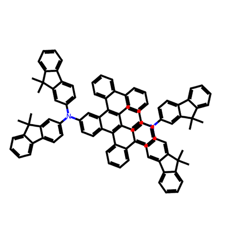 CC1(C)c2ccccc2-c2ccc(N(c3ccc4c(c3)C(C)(C)c3ccccc3-4)c3ccc4c(-c5ccccc5-c5ccccc5)c5cc(N(c6ccc7c(c6)C(C)(C)c6ccccc6-7)c6ccc7c(c6)C(C)(C)c6ccccc6-7)ccc5c(-c5ccccc5-c5ccccc5)c4c3)cc21